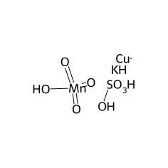 O=S(=O)(O)O.[Cu].[KH].[O]=[Mn](=[O])(=[O])[OH]